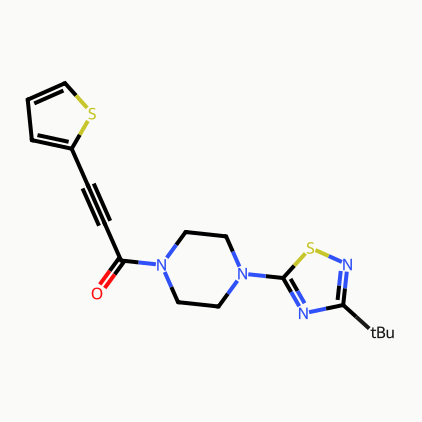 CC(C)(C)c1nsc(N2CCN(C(=O)C#Cc3cccs3)CC2)n1